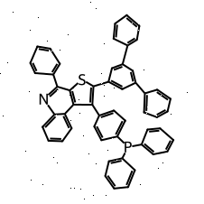 c1ccc(-c2cc(-c3ccccc3)cc(-c3sc4c(-c5ccccc5)nc5ccccc5c4c3-c3ccc(P(c4ccccc4)c4ccccc4)cc3)c2)cc1